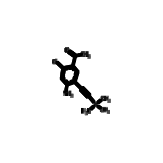 CC(=O)c1cc(C#C[Si](C)(C)C)c(N)cc1Cl